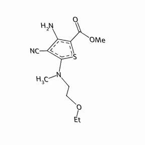 CCOCCN(C)c1sc(C(=O)OC)c(N)c1C#N